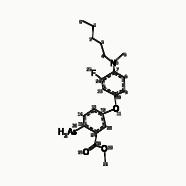 CCCCCN(C)c1ccc(Oc2ccc([AsH2])c(C(=O)OC)c2)cc1F